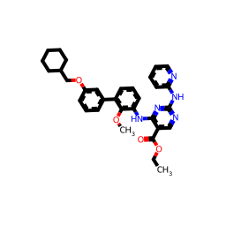 CCOC(=O)c1cnc(Nc2ccccn2)nc1Nc1cccc(-c2cccc(OCC3CCCCC3)c2)c1OC